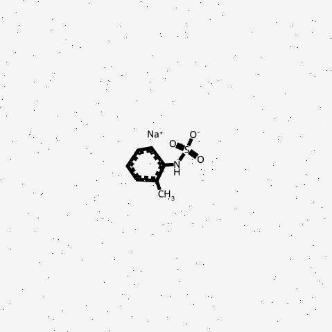 Cc1ccccc1NS(=O)(=O)[O-].[Na+]